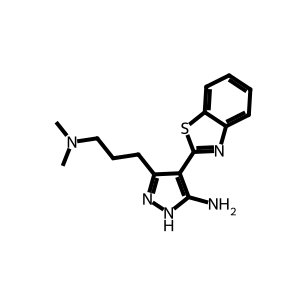 CN(C)CCCc1n[nH]c(N)c1-c1nc2ccccc2s1